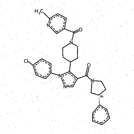 Cc1ccc(C(=O)N2CCC(c3c(C(=O)N4CC[C@H](c5ccccc5)C4)cnn3-c3ccc(Cl)cc3)CC2)cn1